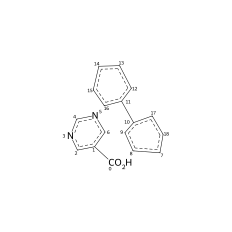 O=C(O)c1cncnc1.c1ccc(-c2ccccc2)cc1